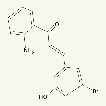 Nc1ccccc1C(=O)/C=C/c1cc(O)cc(Br)c1